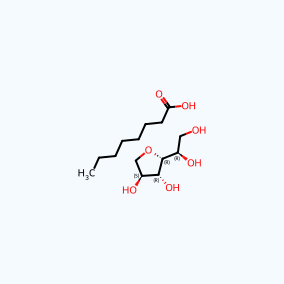 CCCCCCCC(=O)O.OC[C@@H](O)[C@H]1OC[C@H](O)[C@H]1O